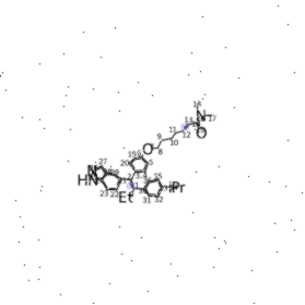 CC/C(=C(/c1ccc(OCCCC/C=C/C(=O)N(C)C)cc1)c1ccc2[nH]ncc2c1)c1ccc(C(C)C)cc1